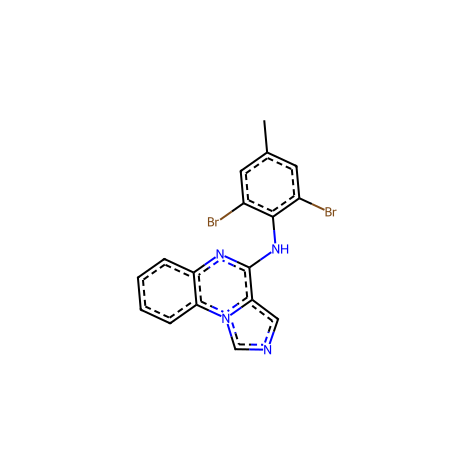 Cc1cc(Br)c(Nc2nc3ccccc3n3cncc23)c(Br)c1